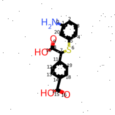 Nc1cccc(SC(C(=O)O)c2ccc(C(=O)O)cc2)c1